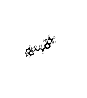 O=C(NCC(=O)N1C[C@H](F)[C@H]2OCC(=O)[C@H]21)c1ccc2[nH]c(=O)c(=O)[nH]c2c1